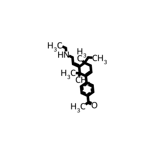 CCNC/C=C1\C(C)(CC)CC=C(c2ccc(C(C)=O)cc2)C1(C)C